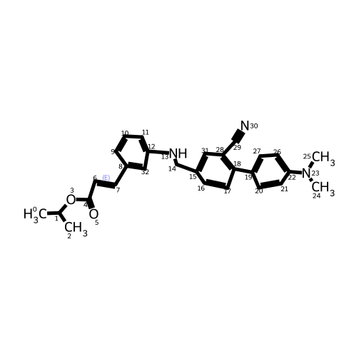 CC(C)OC(=O)/C=C/c1cccc(NCc2ccc(-c3ccc(N(C)C)cc3)c(C#N)c2)c1